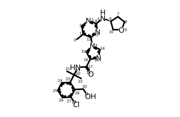 Cc1cnc(N[C@H]2CCOC2)nc1-n1cnc(C(=O)NC(C)(C)c2cccc(Cl)c2CO)c1